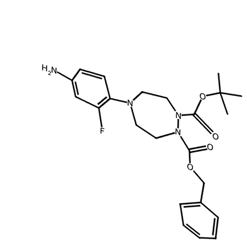 CC(C)(C)OC(=O)N1CCN(c2ccc(N)cc2F)CCN1C(=O)OCc1ccccc1